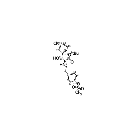 CC(C)(C)OC(=O)C(NCCc1ccc(OS(=O)(=O)C(F)(F)F)cc1)[C@H](O)c1cccc(Cl)c1